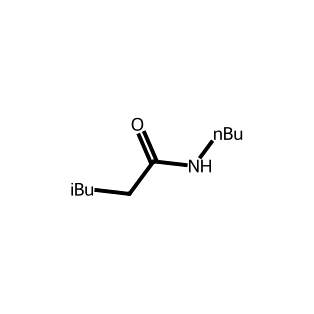 CCCCNC(=O)CC(C)CC